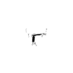 C=CO.[Al+3].[I-].[I-].[I-]